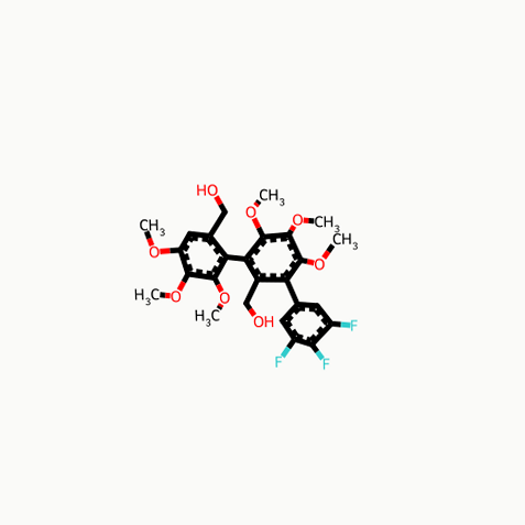 COc1cc(CO)c(-c2c(CO)c(-c3cc(F)c(F)c(F)c3)c(OC)c(OC)c2OC)c(OC)c1OC